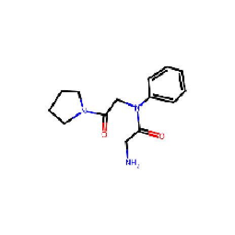 NCC(=O)N(CC(=O)N1CCCC1)c1ccccc1